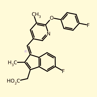 CC1=C(CC(=O)O)c2cc(F)ccc2/C1=C\c1cnc(Oc2ccc(F)cc2)c(C)c1